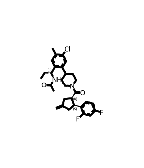 C=C1C[C@H](c2ccc(F)cc2F)[C@H](C(=O)N2CCC(c3cc(Cl)c(C)cc3[C@H](CC)NC(C)=O)CC2)C1